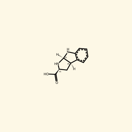 O=C(O)[C@@H]1C[C@@H]2c3ccccc3N[C@@H]2N1